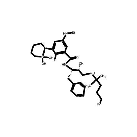 CCNc1cc(C(=O)N[C@@H](Cc2ccccc2)[C@H](O)CNC(C)(C)CCCC(C)C)c(F)c(N2CCCCS2(O)O)c1